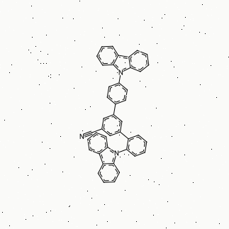 N#Cc1cc(-c2ccc(-n3c4ccccc4c4ccccc43)cc2)cc(-c2ccccc2-n2c3ccccc3c3ccccc32)c1